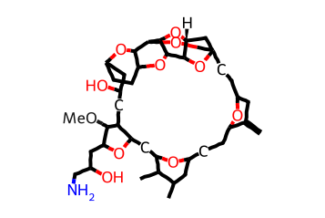 C=C1CC2CCC34C[C@H]5OC6C(O3)C3OC(CCC3OC6C5O4)CC(O)CC3C(CC4OC(CCC1O2)CC(C)C4C)OC(CC(O)CN)C3OC